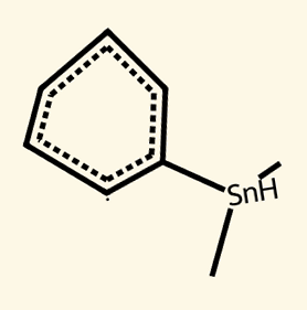 [CH3][SnH]([CH3])[c]1[c]cccc1